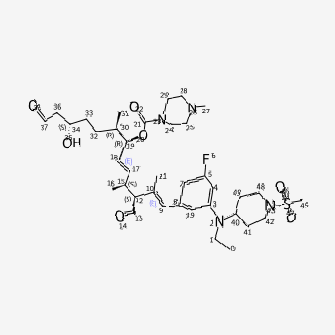 CCN(c1cc(F)cc(/C=C(\C)[C@@H](C=O)[C@@H](C)/C=C/[C@H](OC(=O)N2CCN(C)CC2)[C@H](C)CC[C@H](O)CC=O)c1)C1CCN(S(C)(=O)=O)CC1